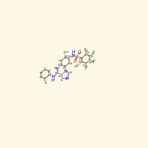 Cc1ccccc1NC1=Nc2cc(F)c(NS(=O)(=O)c3c(F)c(F)c(F)c(F)c3F)cc2N2C=NCC12